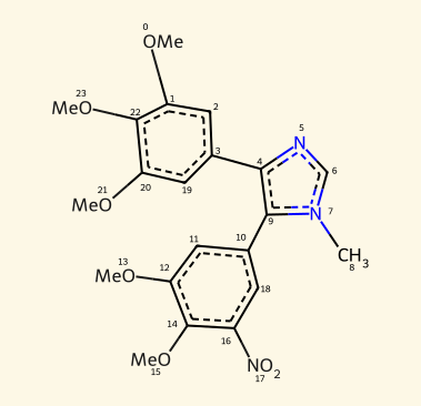 COc1cc(-c2ncn(C)c2-c2cc(OC)c(OC)c([N+](=O)[O-])c2)cc(OC)c1OC